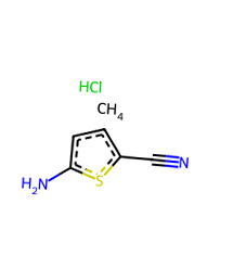 C.Cl.N#Cc1ccc(N)s1